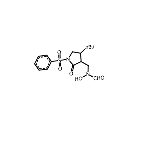 CCCCC1CN(S(=O)(=O)c2ccccc2)C(=O)C1CN(O)C=O